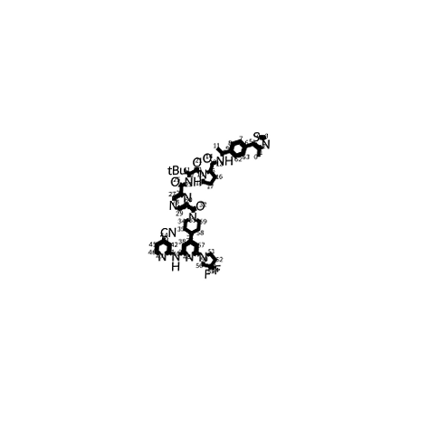 Cc1ncsc1-c1ccc(C(C)NC(=O)C2CCCN2C(=O)C(NC(=O)c2cncc(C(=O)N3CCC(c4cc(Nc5cc(C#N)ccn5)nc(N5CCC(F)(F)C5)c4)CC3)n2)C(C)(C)C)cc1